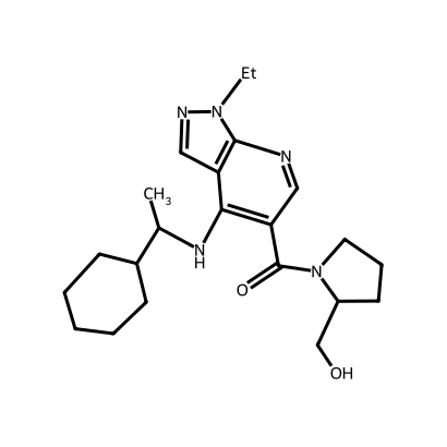 CCn1ncc2c(NC(C)C3CCCCC3)c(C(=O)N3CCCC3CO)cnc21